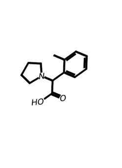 Cc1ccccc1C(C(=O)O)N1CCCC1